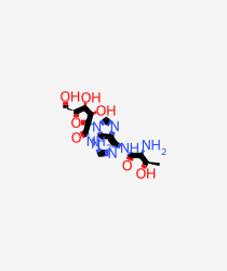 C[C@@H](O)[C@H](N)C(=O)Nc1ncnc2c1ncn2[C@]1(C(N)=O)O[C@H](CO)[C@@H](O)[C@H]1O